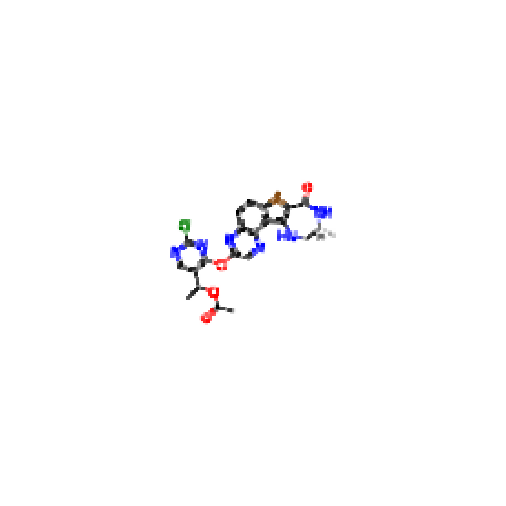 CC(=O)OC(C)c1cnc(Cl)nc1Oc1cnc2c(ccc3sc4c(c32)NC[C@@H](C)NC4=O)n1